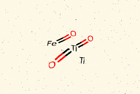 [O]=[Fe].[O]=[Ti]=[O].[Ti]